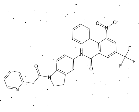 O=C(Nc1ccc2c(c1)CCN2C(=O)Cc1ccccn1)c1cc(C(F)(F)F)cc([N+](=O)[O-])c1-c1ccccc1